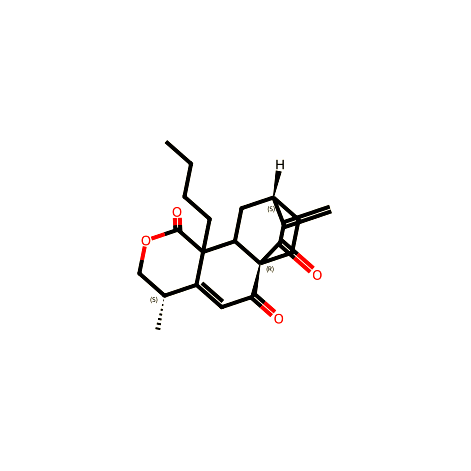 C=C1C(=O)[C@]23CC[C@H]1CC2C1(CCCC)C(=O)OC[C@@H](C)C1=CC3=O